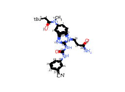 CN(C(=O)CC(C)(C)C)c1ccc2c(c1)nc(NC(=O)Nc1cccc(C#N)c1)n2CCC(N)=O